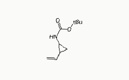 C=CC1CC1NC(=O)OC(C)(C)C